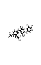 CC(=O)Oc1ccc(CC2NC(=O)C(Cc3ccc(C)c(C)c3)CC2=O)cc1OC(C)=O